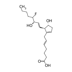 CCCCC(F)[C@H](O)C=C[C@@H]1C(CC=CCCCC(=O)O)=CC[C@H]1O